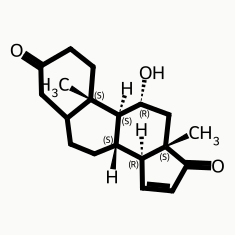 C[C@]12CCC(=O)CC1CC[C@@H]1[C@@H]2[C@H](O)C[C@]2(C)C(=O)C=C[C@@H]12